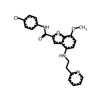 COc1ccc(NCCc2ccccn2)c2cc(C(=O)Nc3ccc(Cl)cc3)oc12